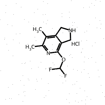 Cc1nc(OC(F)F)c2c(c1C)CNC2.Cl